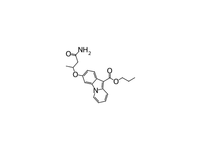 CCCOC(=O)c1c2ccc(OC(C)CC(N)=O)cc2n2ccccc12